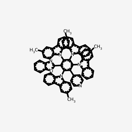 Cc1ccc2c(c1)c1ccccc1n2-c1c(-c2ccncc2)c(-n2c3ccccc3c3cc(C)ccc32)c(-n2c3ccccc3c3cc(C)ccc32)c(-n2c3ccccc3c3cc(C)ccc32)c1-c1nc2ccccc2o1